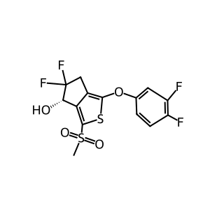 CS(=O)(=O)c1sc(Oc2ccc(F)c(F)c2)c2c1[C@H](O)C(F)(F)C2